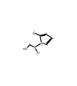 CCN(CO)[SH]1C=CC=C1Cl